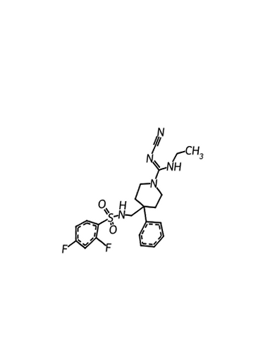 CCN/C(=N\C#N)N1CCC(CNS(=O)(=O)c2ccc(F)cc2F)(c2ccccc2)CC1